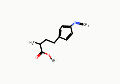 C=Nc1ccc(CCC(C)C(=O)OC(C)(C)C)cc1